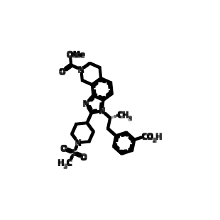 COC(=O)N1CCc2ccc3c(nc(C4CCN(S(C)(=O)=O)CC4)n3[C@H](C)Cc3cccc(C(=O)O)c3)c2C1